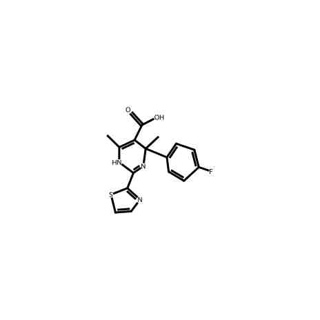 CC1=C(C(=O)O)C(C)(c2ccc(F)cc2)N=C(c2nccs2)N1